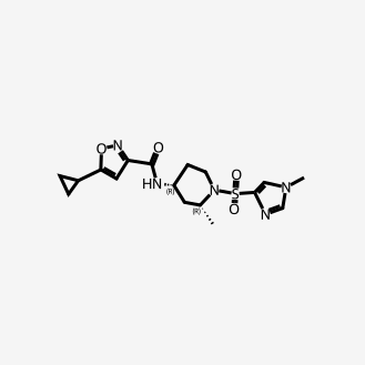 C[C@@H]1C[C@H](NC(=O)c2cc(C3CC3)on2)CCN1S(=O)(=O)c1cn(C)cn1